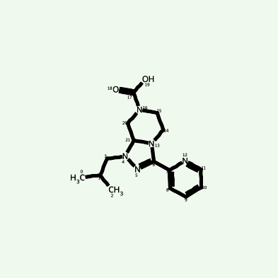 CC(C)CN1N=C(c2ccccn2)N2CCN(C(=O)O)CC12